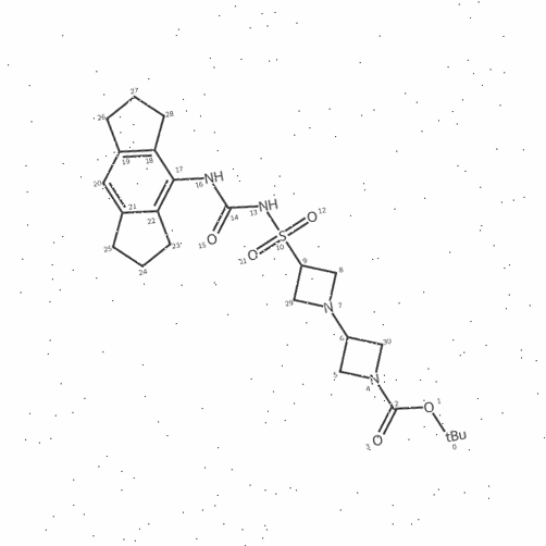 CC(C)(C)OC(=O)N1CC(N2CC(S(=O)(=O)NC(=O)Nc3c4c(cc5c3CCC5)CCC4)C2)C1